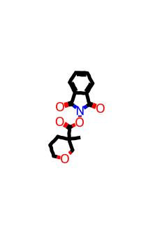 CC1(C(=O)ON2C(=O)c3ccccc3C2=O)CCCOC1